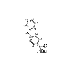 CCCCC(=O)c1ccc(Sc2ccccc2)cc1